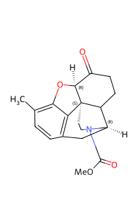 COC(=O)N1CC[C@]23c4c5ccc(C)c4O[C@H]2C(=O)CCC3[C@H]1C5